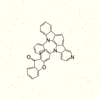 O=c1c2ccccc2oc2cc(-n3c4ccncc4c4ccc5c6ccccc6n(-c6ccccc6)c5c43)ccc12